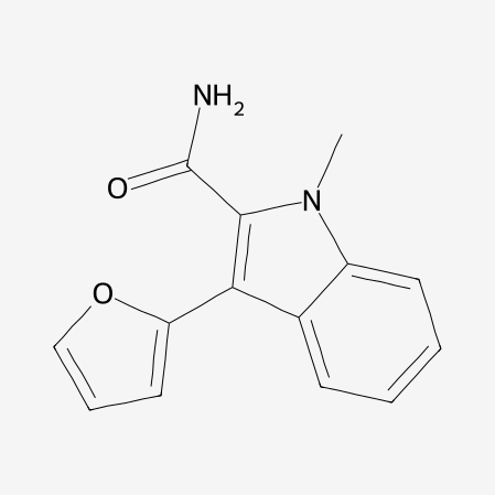 Cn1c(C(N)=O)c(-c2ccco2)c2ccccc21